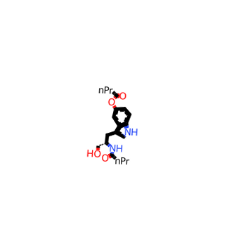 CCCC(=O)N[C@H](CO)Cc1c[nH]c2ccc(OC(=O)CCC)cc12